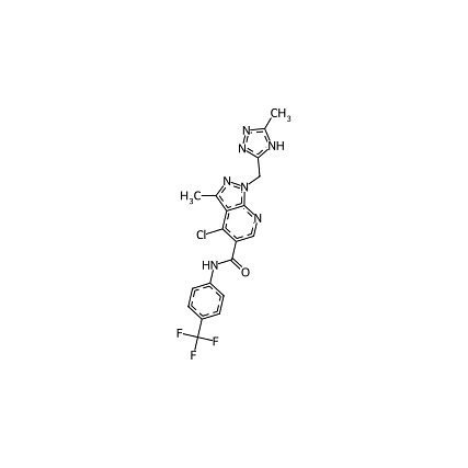 Cc1nnc(Cn2nc(C)c3c(Cl)c(C(=O)Nc4ccc(C(F)(F)F)cc4)cnc32)[nH]1